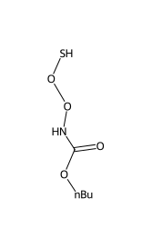 CCCCOC(=O)NOOS